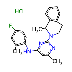 Cc1cc(Nc2ccc(F)cc2C)nc(N2CCc3ccccc3C2C)n1.Cl